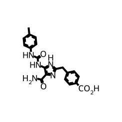 Cc1ccc(NC(=O)Nc2[nH]c(Cc3ccc(C(=O)O)cc3)nc2C(N)=O)cc1